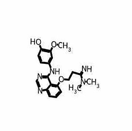 COc1cc(Nc2ncnc3cccc(OCCC(=N)N(C)C)c23)ccc1O